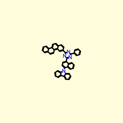 c1ccc(-c2nc(-c3ccc4ccc5c6ccccc6ccc5c4c3)nc(-c3ccc(-n4c5ccccc5c5ccccc54)c4ccccc34)n2)cc1